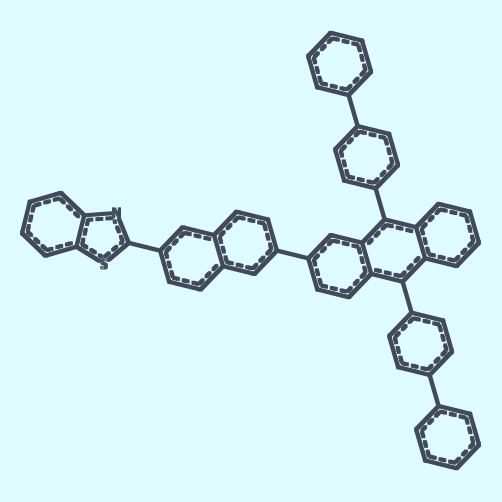 c1ccc(-c2ccc(-c3c4ccccc4c(-c4ccc(-c5ccccc5)cc4)c4cc(-c5ccc6cc(-c7nc8ccccc8s7)ccc6c5)ccc34)cc2)cc1